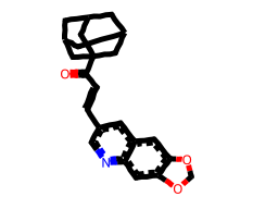 O=C(C=Cc1cnc2cc3c(cc2c1)OCO3)C12CC3CC(CC(C3)C1)C2